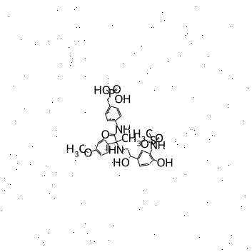 COc1ccc(C(C)(NC[C@@H](O)c2ccc(O)c(NS(C)(=O)=O)c2)C(=O)Nc2ccc(CP(=O)(O)O)cc2)cc1